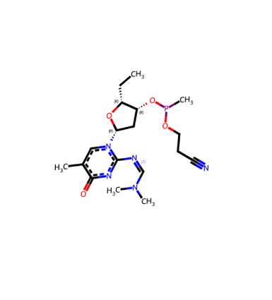 CC[C@H]1O[C@@H](n2cc(C)c(=O)nc2/N=C\N(C)C)C[C@H]1OP(C)OCCC#N